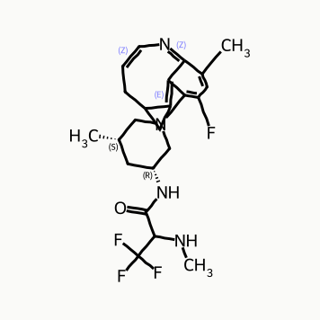 CNC(C(=O)N[C@@H]1C[C@H](C)CN(c2c(F)cc(C)c3/c2=C2\CC2C/C=C\N=3)C1)C(F)(F)F